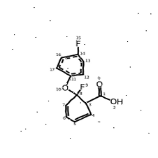 O=C(O)C1C=CC=CC1(F)Oc1ccc(F)cc1